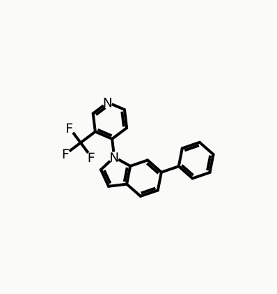 FC(F)(F)c1cnccc1-n1ccc2ccc(-c3ccccc3)cc21